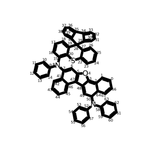 C1=CC2=c3oc4cc(N(c5ccccc5)c5cccc6c5Sc5ccccc5C65c6ccccc6-c6ccccc65)c5ccccc5c4c3=CC(N(c3ccccc3)c3ccccc3)C2C=C1